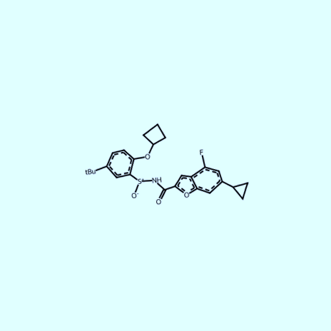 CC(C)(C)c1ccc(OC2CCC2)c([S+]([O-])NC(=O)c2cc3c(F)cc(C4CC4)cc3o2)c1